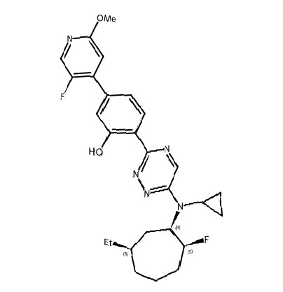 CC[C@@H]1CCC[C@H](F)[C@H](N(c2cnc(-c3ccc(-c4cc(OC)ncc4F)cc3O)nn2)C2CC2)C1